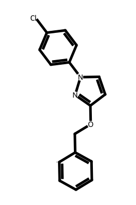 Clc1ccc(-n2ccc(OCc3[c]cccc3)n2)cc1